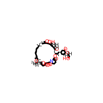 [2H]C([2H])([2H])O[C@H]1C[C@@H]2CC[C@@H](C)[C@@](O)(O2)C(=O)C(=O)N2CCCC[C@H]2C(=O)O[C@H]([C@H](C)C[C@@H]2CC[C@@H](OC([2H])([2H])CO)[C@H](OC)C2)CC(=O)[C@H](C([2H])([2H])[2H])/C=C(\C)[C@@H](O)[C@@H](OC)C(=C)[C@H](C)C[C@H](C)/C=C/C=C/C=C/1C